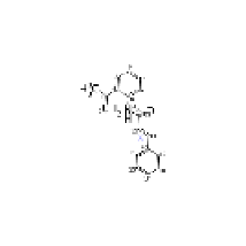 C=C(C)c1ccccc1NC(=O)/C=C/c1ccccc1